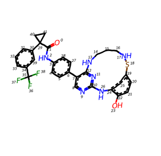 O=C(Nc1ccc(-c2cnc3nc2NCCCNSc2ccc(O)c(c2)N3)cc1)C1(c2cccc(C(F)(F)F)c2)CC1